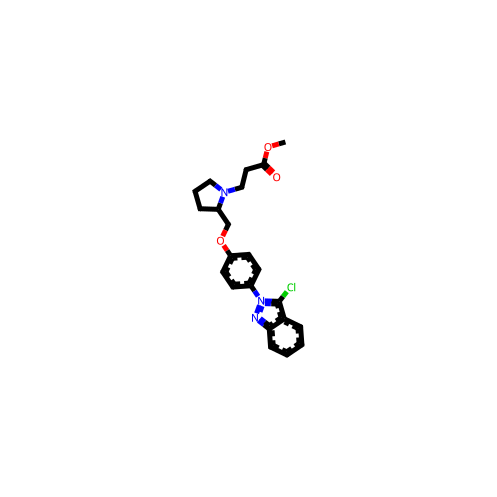 COC(=O)CCN1CCCC1COc1ccc(-n2nc3ccccc3c2Cl)cc1